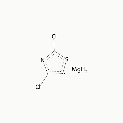 Clc1[c]sc(Cl)n1.[MgH2]